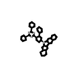 c1ccc(-c2nc(-c3ccccc3)nc(-c3ccc(-n4c5cc6ccccc6cc5c5cc6ccccc6cc54)cc3-c3ccccc3)n2)cc1